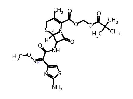 CO/N=C(\C(=O)NC1C(=O)N2C(C(=O)OCOC(=O)C(C)(C)C)=C(C)CS[C@@H]12)c1csc(N)n1